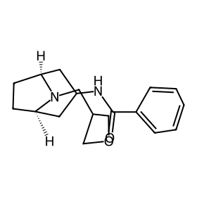 O=C(NC1C[C@H]2CC[C@@H](C1)N2CC1COC1)c1ccccc1